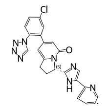 O=c1cc(-c2cc(Cl)ccc2-n2cnnn2)cc2n1[C@H](c1ncc(-c3cc[c]cn3)[nH]1)CC2